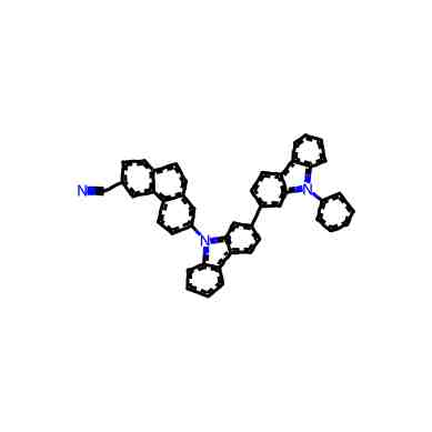 N#Cc1ccc2ccc3cc(-n4c5ccccc5c5ccc(-c6ccc7c8ccccc8n(-c8ccccc8)c7c6)cc54)ccc3c2c1